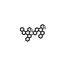 c1ccc2c(c1)ccc1c2c2cccnc2c2c(-c3ccc4c(ccc5c6cccnc6c6ccc7ccccc7c6c45)c3)cc3ccccc3c12